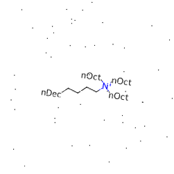 CCCCCCCCCCCCCC[N+](CCCCCCCC)(CCCCCCCC)CCCCCCCC